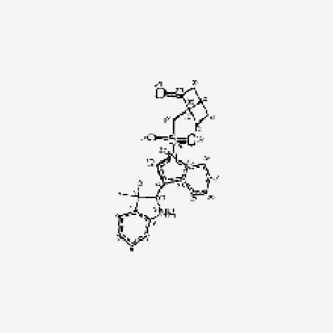 CC1(C)c2ccccc2NC1c1cn(S(=O)(=O)C[C@]23CCC2CC3=O)c2ccccc12